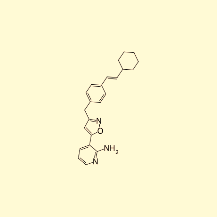 Nc1ncccc1-c1cc(Cc2ccc(C=CC3CCCCC3)cc2)no1